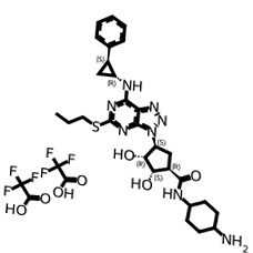 CCCSc1nc(N[C@@H]2C[C@H]2c2ccccc2)c2nnn([C@H]3C[C@@H](C(=O)NC4CCC(N)CC4)[C@H](O)[C@@H]3O)c2n1.O=C(O)C(F)(F)F.O=C(O)C(F)(F)F